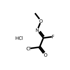 CON=C(F)C(=O)Cl.Cl